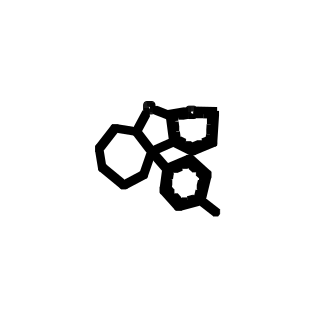 Cc1ccc(C23CCCCCC2Oc2ccccc23)cc1